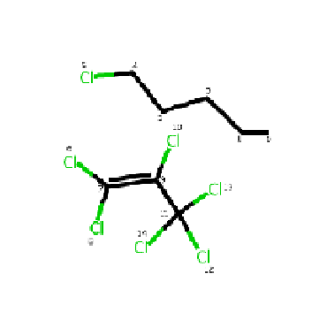 CCCCCCl.ClC(Cl)=C(Cl)C(Cl)(Cl)Cl